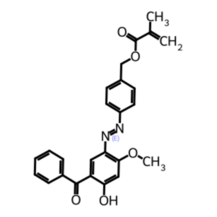 C=C(C)C(=O)OCc1ccc(/N=N/c2cc(C(=O)c3ccccc3)c(O)cc2OC)cc1